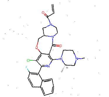 C=CC(=O)N1CCN2C(=O)c3c(N4CCN(C)C[C@@H]4C)nc(-c4c(F)ccc5ccccc45)c(Cl)c3OCC2C1